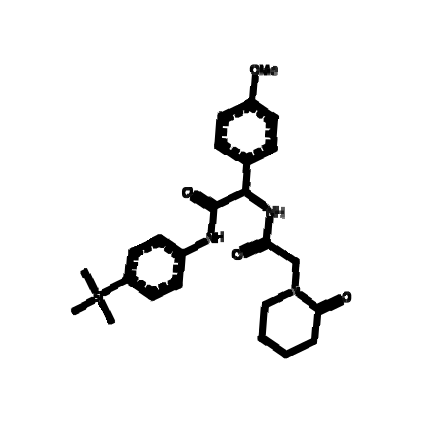 COc1ccc(C(NC(=O)CN2CCCCC2=O)C(=O)Nc2ccc([Si](C)(C)C)cc2)cc1